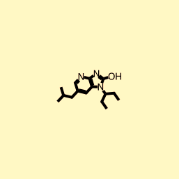 CCC(CC)n1c(O)nc2ncc(CC(C)C)cc21